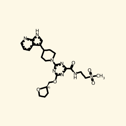 CS(=O)(=O)CCNC(=O)c1nc(OC[C@H]2CCCO2)nc(N2CCC(c3c[nH]c4ncccc34)CC2)n1